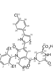 CCc1cccc(CC)c1-n1c(CC(C)C)c(C(=O)N2CC(=O)N[C@H](C(=O)O)C2)cc(-c2nc(-c3ccc(Cl)cc3)cs2)c1=O